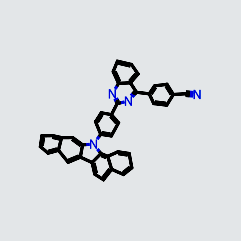 N#Cc1ccc(-c2nc(-c3ccc(-n4c5cc6ccccc6cc5c5ccc6ccccc6c54)cc3)nc3ccccc23)cc1